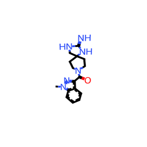 Cn1nc(C(=O)N2CCC3(CC2)CNC(=N)N3)c2ccccc21